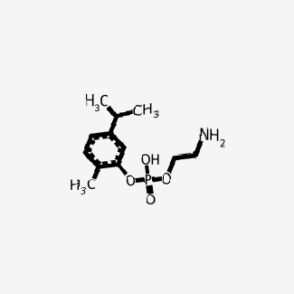 Cc1ccc(C(C)C)cc1OP(=O)(O)OCCN